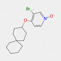 [O-][n+]1ccc(OC2CCC3(CCCCC3)CC2)c(Br)c1